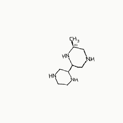 C[C@H]1CNCC(C2CNCCN2)N1